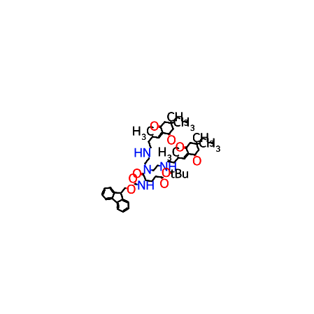 C[C@H](C=C1C(=O)CC(C)(C)CC1=O)CCNCCN(CCNCC[C@H](C)C=C1C(=O)CC(C)(C)CC1=O)C(=O)C(CCC(=O)OC(C)(C)C)NC(=O)OCC1c2ccccc2-c2ccccc21